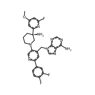 COc1cc(F)nc([C@@]2(N)CCCN(c3cnc(-c4ccc(F)c(F)c4)cc3Cn3cnc4c(N)ncnc43)C2)c1